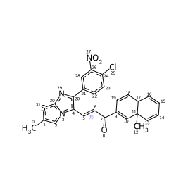 Cc1cn2c(/C=C/C(=O)C3=CC4(C)C=CC=CC4C=C3)c(-c3ccc(Cl)c([N+](=O)[O-])c3)nc2s1